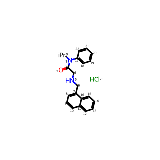 CC(C)N(C(=O)CNCc1cccc2ccccc12)c1ccccc1.Cl